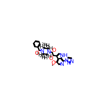 [2H]C1([2H])N(C(=O)C(=O)c2c[nH]c3c(-n4ccnn4)ncc(OC)c23)C([2H])([2H])C([2H])([2H])N(C(=O)c2ccccc2)C1([2H])[2H]